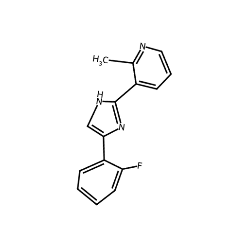 Cc1ncccc1-c1nc(-c2ccccc2F)c[nH]1